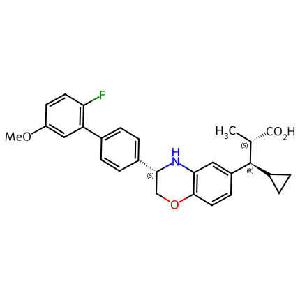 COc1ccc(F)c(-c2ccc([C@H]3COc4ccc([C@H](C5CC5)[C@H](C)C(=O)O)cc4N3)cc2)c1